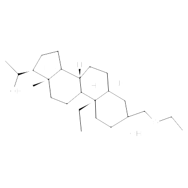 CCOC[C@@]1(O)CC[C@@]2(CC)[C@@H](CC[C@H]3[C@@H]4CC[C@H](C(C)O)[C@@]4(C)CC[C@@H]32)C1